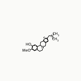 COc1cc2c(cc1O)C1Cc3sc(CN(C)C)cc3CN1CC2